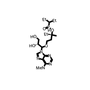 CCC(CC)[PH](=O)O[C@@](C)(CC)CCOC([C@H](O)CO)n1cnc2c(NC)ncnc21